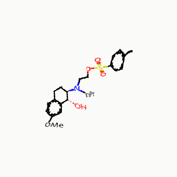 CCCN(CCOS(=O)(=O)c1ccc(C)cc1)[C@@H]1CCc2ccc(OC)cc2[C@H]1O